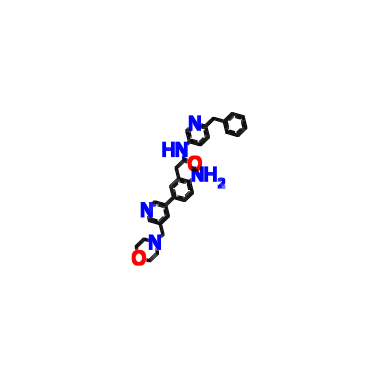 Nc1ccc(-c2cncc(CN3CCOCC3)c2)cc1CC(=O)Nc1ccc(Cc2ccccc2)nc1